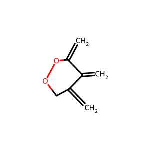 C=C1COOC(=C)C1=C